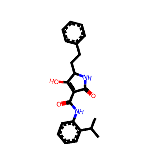 CC(C)c1ccccc1NC(=O)C1=C(O)C(CCc2ccccc2)NC1=O